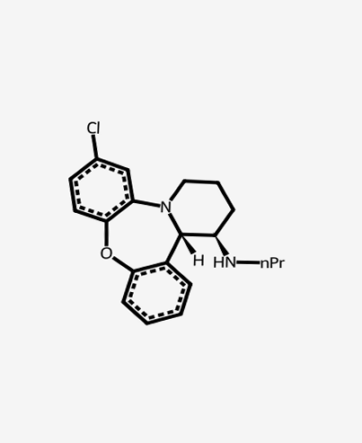 CCCN[C@@H]1CCCN2c3cc(Cl)ccc3Oc3ccccc3[C@@H]12